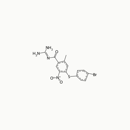 Cc1cc(Sc2ccc(Br)cc2)c([N+](=O)[O-])cc1C(=O)N=C(N)N